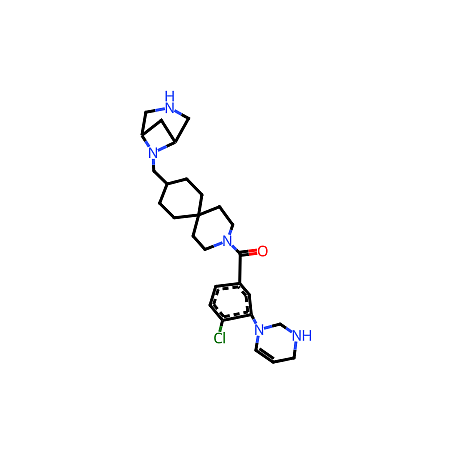 O=C(c1ccc(Cl)c(N2C=CCNC2)c1)N1CCC2(CCC(CN3C4CNCC3C4)CC2)CC1